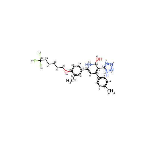 Cc1ccc(C2=C(c3nnn[nH]3)C(O)NC(c3ccc(OCCCCCC(F)(F)F)c(C)c3)=C2)cc1